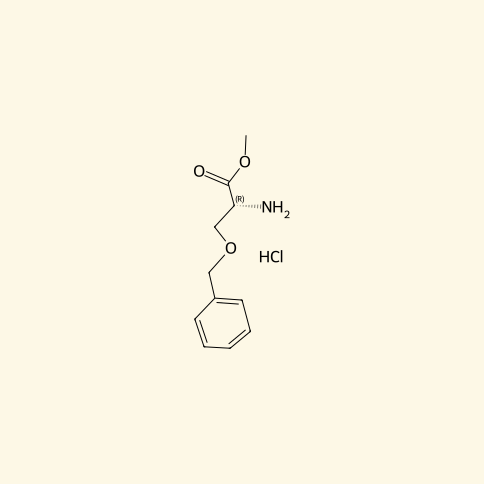 COC(=O)[C@H](N)COCc1ccccc1.Cl